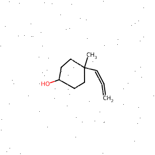 C=C=CC1(C)CCC(O)CC1